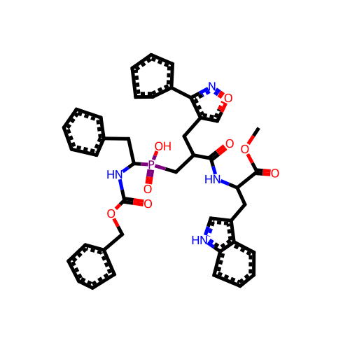 COC(=O)C(Cc1c[nH]c2ccccc12)NC(=O)C(Cc1conc1-c1ccccc1)CP(=O)(O)C(Cc1ccccc1)NC(=O)OCc1ccccc1